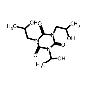 CC(O)Cn1c(=O)n(CC(C)O)c(=O)n(C(C)O)c1=O